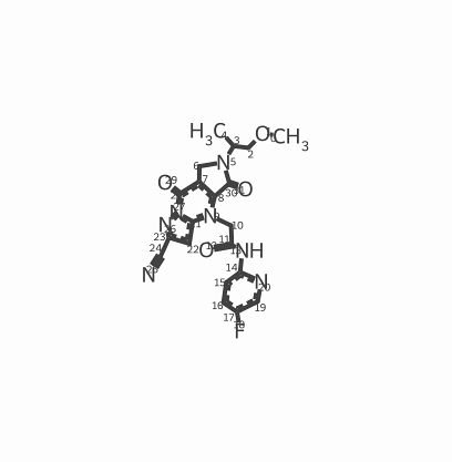 COCC(C)N1Cc2c(n(CC(=O)Nc3ccc(F)cn3)c3cc(C#N)nn3c2=O)C1=O